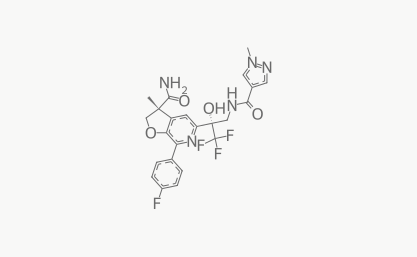 Cn1cc(C(=O)NC[C@](O)(c2cc3c(c(-c4ccc(F)cc4)n2)OC[C@]3(C)C(N)=O)C(F)(F)F)cn1